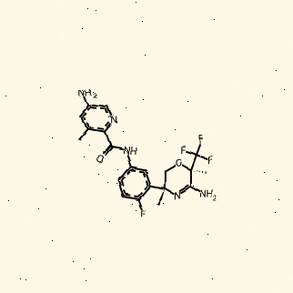 Cc1cc(N)cnc1C(=O)Nc1ccc(F)c([C@]2(C)CO[C@@](C)(C(F)(F)F)C(N)=N2)c1